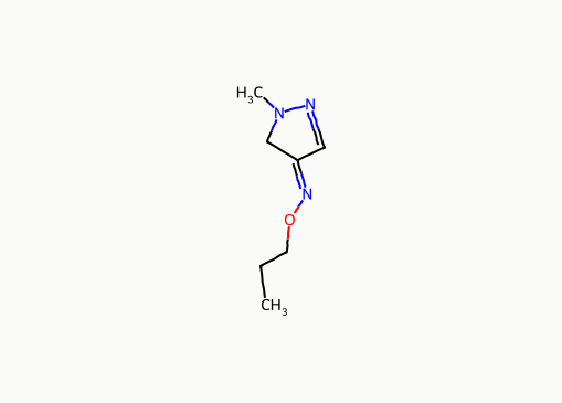 CCCON=C1C=NN(C)C1